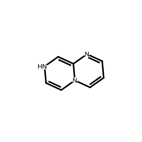 C1=CN2C=CNC=C2N=C1